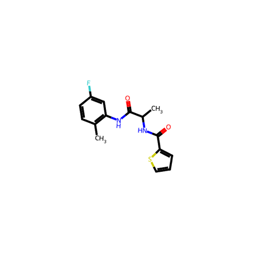 Cc1ccc(F)cc1NC(=O)C(C)NC(=O)c1cccs1